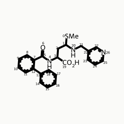 CSC(CC(NC(=O)c1ccccc1-c1ccccc1)C(=O)O)NCc1cccnc1